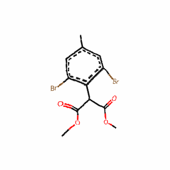 COC(=O)C(C(=O)OC)c1c(Br)cc(C)cc1Br